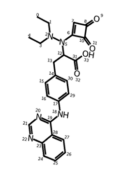 CCN(CC)N(c1cc(=O)c1=O)C(Cc1ccc(Nc2ncnc3ccccc23)cc1)C(=O)O